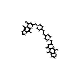 Cc1c2occc2c(C)c2c(=O)cc(CN3CCC(CCC4CCN(Cc5cc(=O)c6c(C)c7ccoc7c(C)c6o5)CC4)CC3)oc12